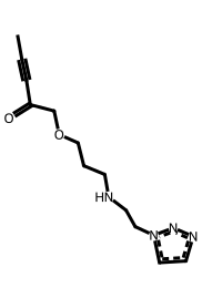 CC#CC(=O)COCCCNCCn1ccnn1